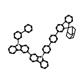 c1ccc(-c2cccc(-n3c4ccccc4c4cc(-c5ccc6c7ccccc7n(-c7ccc(-c8ccc(-c9ccc%10c(c9)C9(c%11ccccc%11-%10)C%10CC%11CC(C%10)CC9C%11)cc8)cc7)c6c5)ccc43)c2)cc1